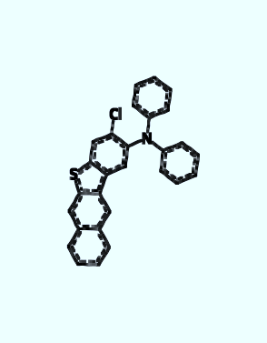 Clc1cc2sc3cc4ccccc4cc3c2cc1N(c1ccccc1)c1ccccc1